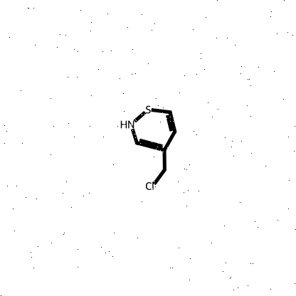 ClCC1=CNSC=C1